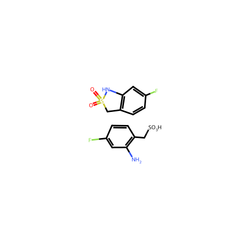 Nc1cc(F)ccc1CS(=O)(=O)O.O=S1(=O)Cc2ccc(F)cc2N1